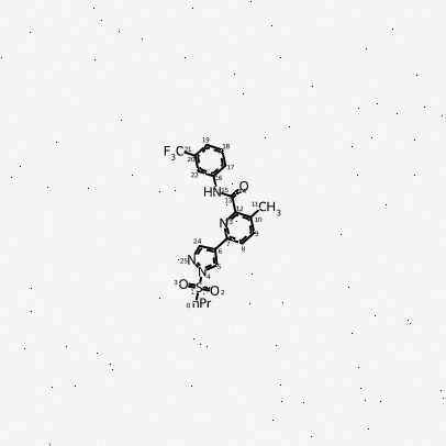 CCCS(=O)(=O)n1cc(-c2ccc(C)c(C(=O)Nc3cccc(C(F)(F)F)c3)n2)cn1